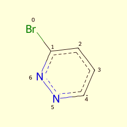 Brc1cc[c]nn1